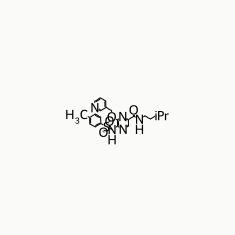 Cc1ccc(S(=O)(=O)Nc2ncc(C(=O)NCCC(C)C)nc2OCc2cccnc2)cc1